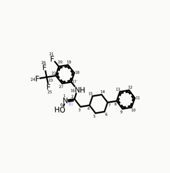 O/N=C(\CC1CCC(c2ccccc2)CC1)Nc1ccc(F)c(C(F)(F)F)c1